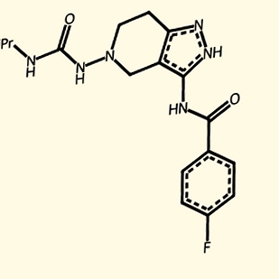 CC(C)NC(=O)NN1CCc2n[nH]c(NC(=O)c3ccc(F)cc3)c2C1